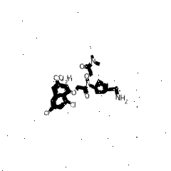 CN(C)C(=O)CON(C(=O)COc1cc(C(=O)O)cc2cc(Cl)cc(Cl)c12)c1ccc(CN)cc1